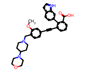 COc1cc(C#Cc2cccc(C(=O)O)c2-c2ccc3cc[nH]c3c2)ccc1CN1CCC(N2CCOCC2)CC1